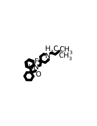 CC(C)(C)CCN1CCC(F)(CNC(=O)C2(c3ccccc3)CCCCC2)CC1